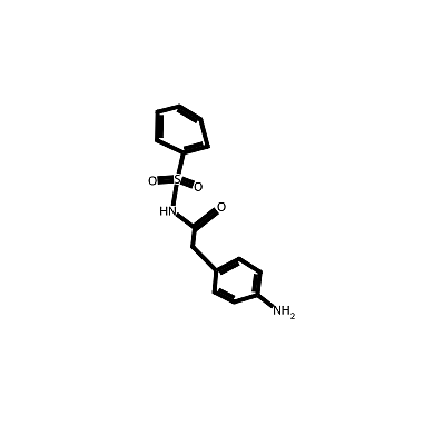 Nc1ccc(CC(=O)NS(=O)(=O)c2ccccc2)cc1